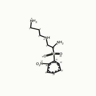 NCCCNCC(N)S(=O)(=O)c1ccccc1[N+](=O)[O-]